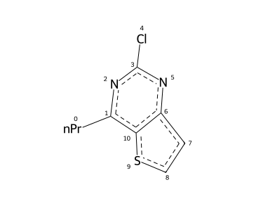 [CH2]CCc1nc(Cl)nc2ccsc12